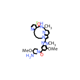 COc1cc(C(=O)N2CC[C@@H](OC)[C@@H](N)C2)cc2nc(-c3cc4ccc5nc4n3CCCCCc3nccc(F)c3C(=O)N[C@@H]5C)n(C)c12